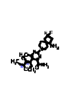 C=C/C(=C(Cl)\C(Cl)=C/C)c1c(C)nc(N2CCC3(CC2)CC(F)(F)C[C@H]3N)nc1C(N)=O